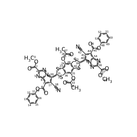 COC(=O)c1nc2c(C(=O)Oc3ccccc3)c(C#N)c(=C3Sc4c(OC(C)=O)c5c(c(OC(C)=O)c4S3)SC(=c3c(C#N)c(C(=O)Oc4ccccc4)c4nc(C(=O)OC)nn34)S5)n2n1